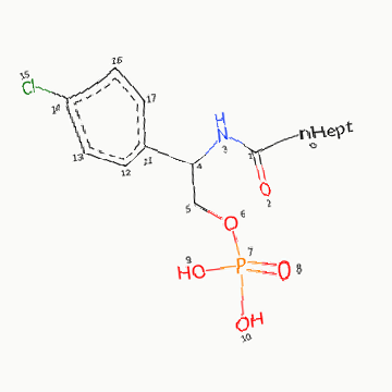 CCCCCCCC(=O)NC(COP(=O)(O)O)c1ccc(Cl)cc1